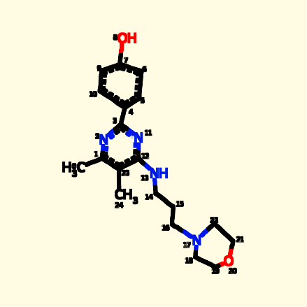 Cc1nc(-c2ccc(O)cc2)nc(NCCCN2CCOCC2)c1C